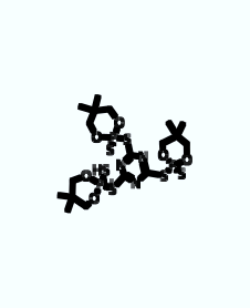 CC1(C)COP(=S)(Sc2nc(SP3(=S)OCC(C)(C)CO3)nc(S[PH]3(S)OCC(C)(C)CO3)n2)OC1